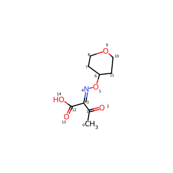 CC(=O)/C(=N\OC1CCOCC1)C(=O)O